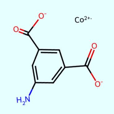 Nc1cc(C(=O)[O-])cc(C(=O)[O-])c1.[Co+2]